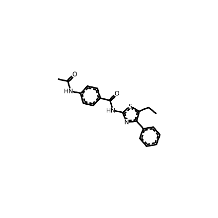 CCc1sc(NC(=O)c2ccc(NC(C)=O)cc2)nc1-c1ccccc1